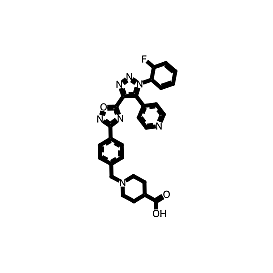 O=C(O)C1CCN(Cc2ccc(-c3noc(-c4nnn(C5C=CC=CC5F)c4-c4ccncc4)n3)cc2)CC1